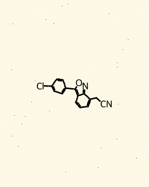 N#CCc1cccc2c(-c3ccc(Cl)cc3)onc12